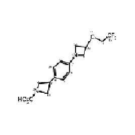 O=C(O)N1CC(c2ccc(N3CC(OCC(F)(F)F)C3)cc2)C1